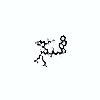 C[C@H](CCC(=O)N[C@H]1C[C@@H](C(=O)N(CCCN(C)C)CCCN(C)C)N(C(=O)C(Cc2c[nH]cn2)NC(=O)OC(C)(C)C)C1)[C@H]1CCC2C3CCC4CCCC[C@]4(C)C3CC[C@@]21C